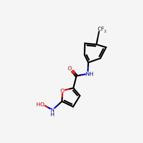 O=C(Nc1ccc(C(F)(F)F)cc1)c1ccc(NO)o1